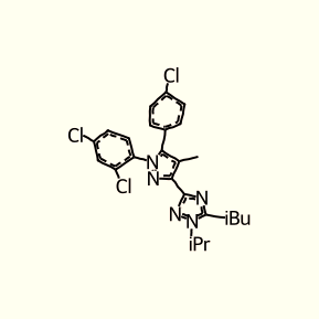 CCC(C)c1nc(-c2nn(-c3ccc(Cl)cc3Cl)c(-c3ccc(Cl)cc3)c2C)nn1C(C)C